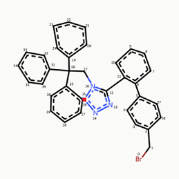 BrCc1ccc(-c2ccccc2-c2nnnn2CC(c2ccccc2)(c2ccccc2)c2ccccc2)cc1